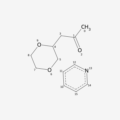 CC(=O)CC1COCCO1.c1ccncc1